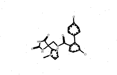 Cn1ccnc1C1(CNC(=O)c2ccc(Cl)cc2-c2ccc(Cl)cc2)NC(=O)NC1=O